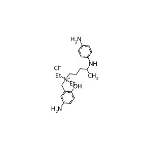 CC[N+](CC)(CCCC(C)Nc1ccc(N)cc1)Cc1cc(N)ccc1O.[Cl-]